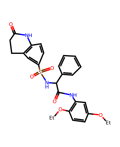 CCOc1ccc(OCC)c(NC(=O)C(NS(=O)(=O)c2ccc3c(c2)CCC(=O)N3)c2ccccc2)c1